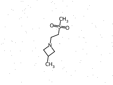 CC1CN(CCS(C)(=O)=O)C1